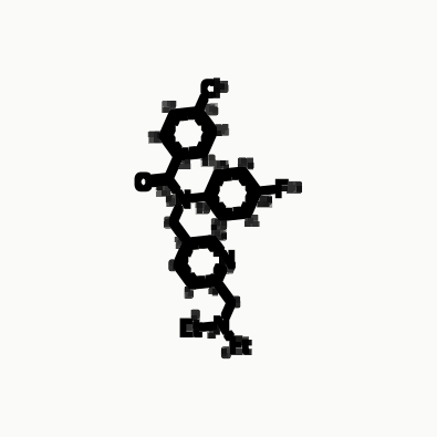 CCN(CC)Cc1ccc(CN(C(=O)c2ccc(Cl)cc2)c2ccc(F)cc2)cn1